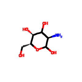 N[C@H]1C(O)O[C@H](CO)[C@H](O)C1O